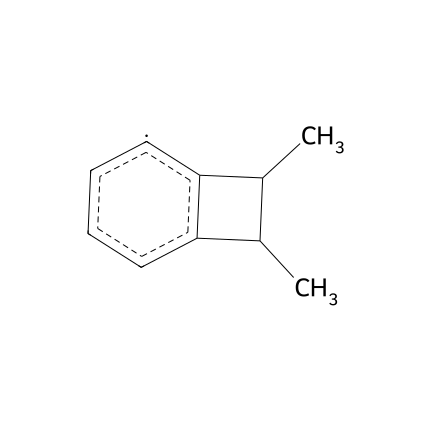 CC1c2[c]cccc2C1C